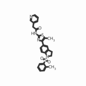 Cc1ccccc1S(=O)(=O)N1CCc2cc(-c3nc(NC(=O)Cc4cccnc4)sc3C)ccc21